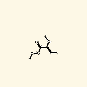 CC=C(OC)C(=O)OOC